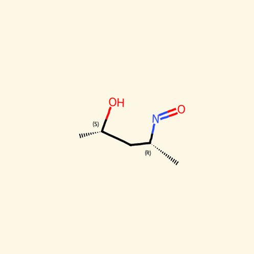 C[C@H](O)C[C@@H](C)N=O